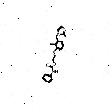 Cc1c(Cn2ccnc2C)cccc1SCCOC(=O)Nc1ccccc1